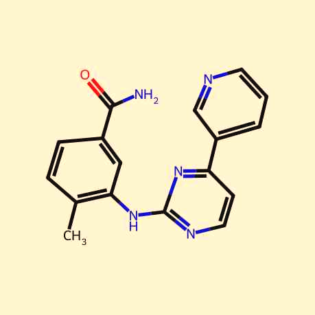 Cc1ccc(C(N)=O)cc1Nc1nccc(-c2cccnc2)n1